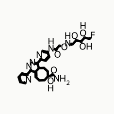 NC(=O)[C@@]1(O)CC/C=C2/C(c3ccccn3)=NN=C(c3ccc(NC(=O)CO/N=C/C(O)C(O)C(O)CF)cn3)C2CC1